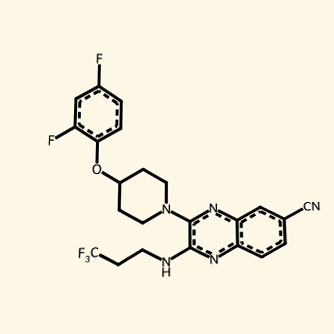 N#Cc1ccc2nc(NCCC(F)(F)F)c(N3CCC(Oc4ccc(F)cc4F)CC3)nc2c1